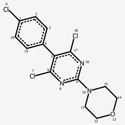 Clc1ccc(-c2c(Cl)nc(N3CCOCC3)nc2Cl)cc1